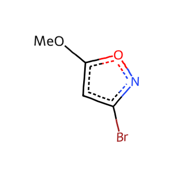 COc1cc(Br)no1